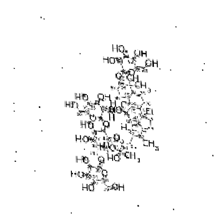 CC[C@@]12CCC([C@H](C)CC[C@@H](O[C@@H]3O[C@H](CO[C@H]4O[C@H](CO)[C@@H](O)[C@H](O)[C@H]4O)[C@@H](O)[C@H](O)[C@H]3O[C@H]3O[C@@H](CO)[C@H](O)[C@@H](O)[C@@H]3O)C(C)(C)O)[C@@]1(C)C[C@@H](O)[C@@]1(C)C3CC[C@H](O[C@@H]4O[C@H](CO)[C@@H](O)[C@H](O)[C@H]4O)C(C)(C)C3=CCC12